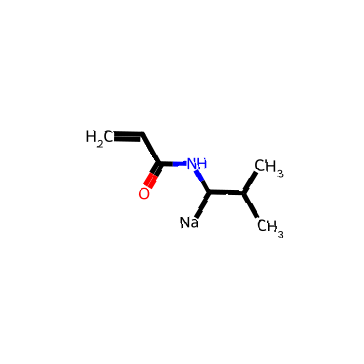 C=CC(=O)N[CH]([Na])C(C)C